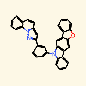 c1cc(-c2cc3ccc4ccccc4n3n2)cc(-n2c3ccccc3c3cc4oc5ccccc5c4cc32)c1